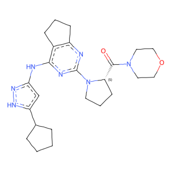 O=C([C@@H]1CCCN1c1nc2c(c(Nc3cc(C4CCCC4)[nH]n3)n1)CCC2)N1CCOCC1